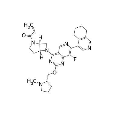 C=CC(=O)N1CC[C@@H]2[C@H]1CN2c1nc(OC[C@@H]2CCCN2C)nc2c(F)c(-c3cncc4c3CCCC4)ncc12